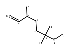 CSC(C)(C)CCC(C)C=O